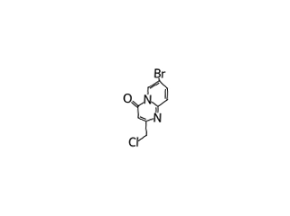 O=c1cc(CCl)nc2ccc(Br)cn12